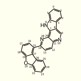 c1ccc2c(c1)[nH]c1c2cnc2ccc(-c3cccc4oc5ccccc5c34)nc21